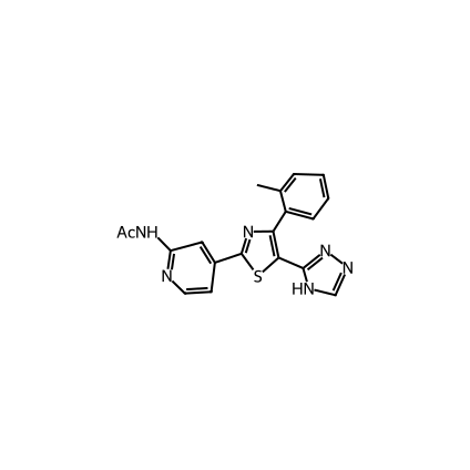 CC(=O)Nc1cc(-c2nc(-c3ccccc3C)c(-c3nnc[nH]3)s2)ccn1